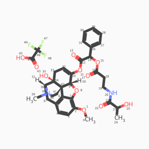 COc1ccc2c3c1O[C@H]1C(OC(=O)C(OC(=O)CCNC(=O)C(C)O)c4ccccc4)=CC[C@@]4(O)[C@@H](C2)N(C)CC[C@]314.O=C(O)C(F)(F)F